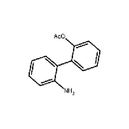 CC(=O)Oc1ccccc1-c1ccccc1N